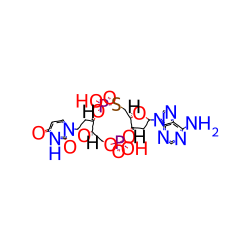 Nc1ncnc2c1ncn2[C@H]1C[C@@H]2OP(=O)(O)OC[C@H]3O[C@@H](n4ccc(=O)[nH]c4=O)C[C@@H]3OP(=O)(O)SC[C@H]2O1